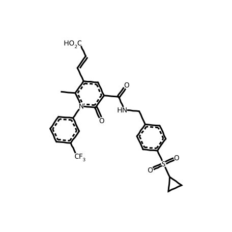 Cc1c(/C=C/C(=O)O)cc(C(=O)NCc2ccc(S(=O)(=O)C3CC3)cc2)c(=O)n1-c1cccc(C(F)(F)F)c1